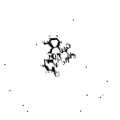 Cc1cccc(N(N)C(=O)N(C)N)c1COc1nccc(Cl)n1